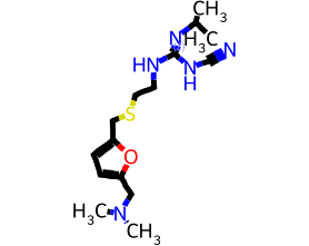 CC(C)/N=C(\NC#N)NCCSCc1ccc(CN(C)C)o1